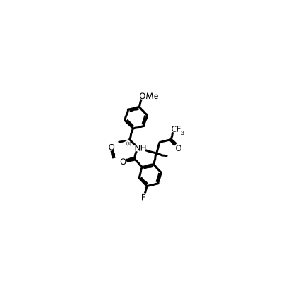 C=O.COc1ccc([C@H](C)NC(=O)c2cc(F)ccc2C(C)(C)CC(=O)C(F)(F)F)cc1